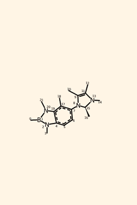 CB1N(C)c2ccc(N3C(C)=C(C)N(C)[C@H]3C)c(C)c2N1C